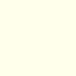 COc1ccc(Nc2nc(Nc3ccc(N4CCN(C)CC4)cn3)ncc2Cl)cc1